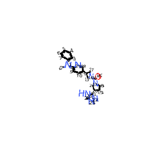 CN(c1ccccc1)c1ccc(C2CN(C(=O)N3CC[C@H](c4nnc[nH]4)C3)C2)cn1